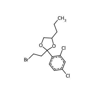 CCCC1COC(CCBr)(c2ccc(Cl)cc2Cl)O1